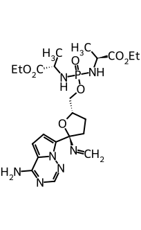 C=N[C@]1(c2ccc3c(N)ncnn23)CC[C@@H](COP(=O)(N[C@@H](C)C(=O)OCC)N[C@@H](C)C(=O)OCC)O1